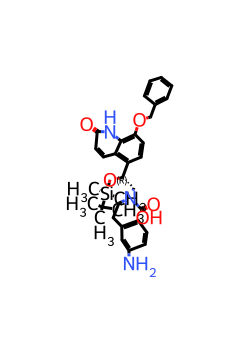 CC(C)(C)[Si](C)(C)O[C@@H](CN(CCc1cccc(N)c1)C(=O)O)c1ccc(OCc2ccccc2)c2[nH]c(=O)ccc12